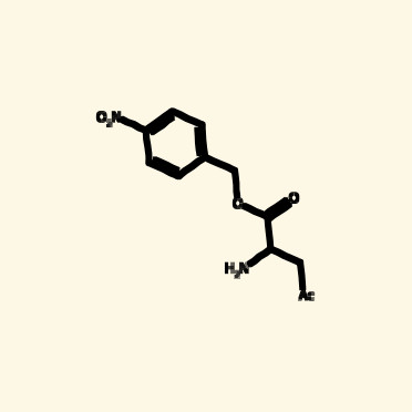 CC(=O)CC(N)C(=O)OCc1ccc([N+](=O)[O-])cc1